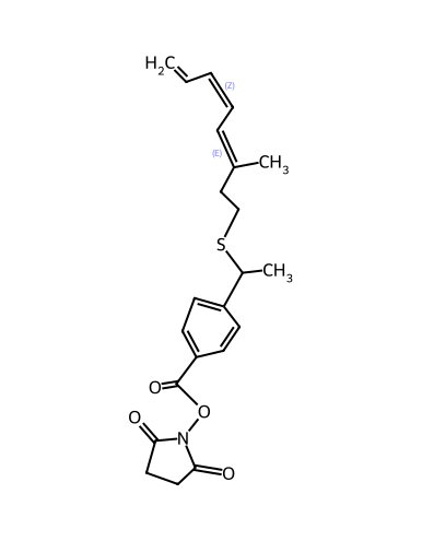 C=C/C=C\C=C(/C)CCSC(C)c1ccc(C(=O)ON2C(=O)CCC2=O)cc1